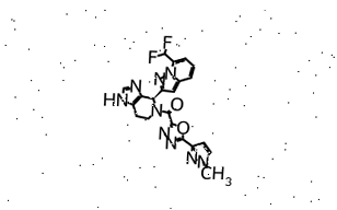 Cn1ccc(-c2nnc(C(=O)N3CCc4[nH]cnc4[C@H]3c3cc4cccc(C(F)F)n4n3)o2)n1